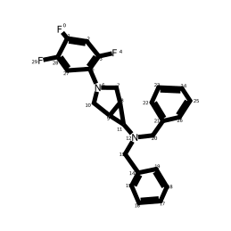 Fc1cc(F)c(N2CC3C(C2)C3N(Cc2ccccc2)Cc2ccccc2)cc1F